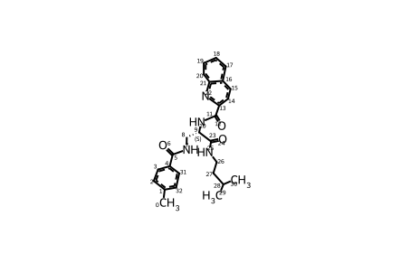 Cc1ccc(C(=O)NC[C@H](NC(=O)c2ccc3ccccc3n2)C(=O)NCCC(C)C)cc1